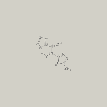 Cc1nnc(N2CCn3cccc3C2=O)o1